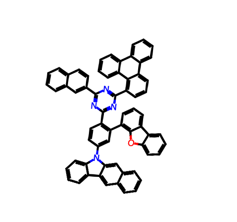 c1ccc2cc(-c3nc(-c4ccc(-n5c6ccccc6c6cc7ccccc7cc65)cc4-c4cccc5c4oc4ccccc45)nc(-c4cccc5c6ccccc6c6ccccc6c45)n3)ccc2c1